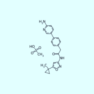 CC1(c2cc(NC(=O)Cc3ccc(-c4ccc(N)nc4)cc3)no2)CC1.CS(=O)(=O)O